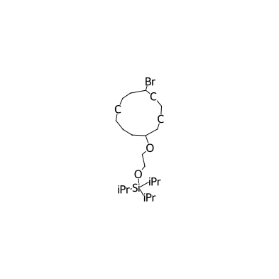 CC(C)[Si](OCCOC1CCCCCCC(Br)CCCC1)(C(C)C)C(C)C